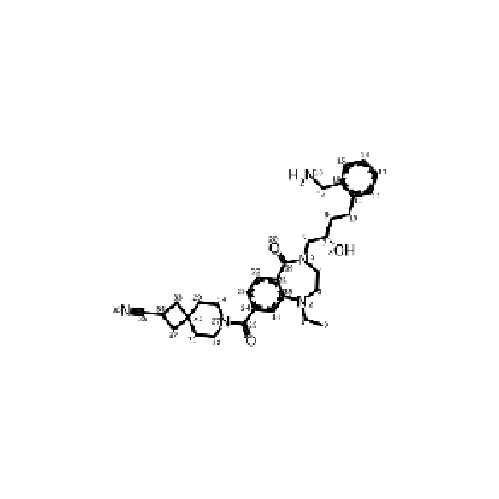 CCN1CCN(C[C@@H](O)CCc2ccccc2CN)C(=O)c2ccc(C(=O)N3CCC4(CC3)CC(C#N)C4)cc21